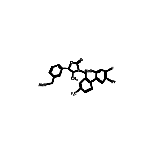 CNCc1cccc([C@H]2OC(=O)N(Cc3cc(C(F)(F)F)ccc3-c3cc(C(C)C)c(F)cc3OC)[C@H]2C)c1